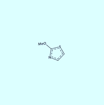 COc1nccs1